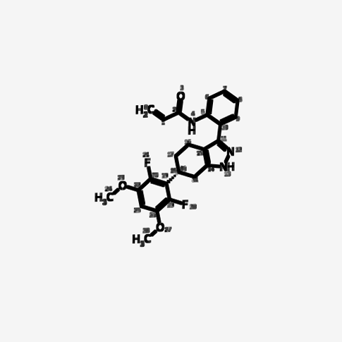 C=CC(=O)Nc1ccccc1-c1n[nH]c2c1CC[C@@H](c1c(F)c(OC)cc(OC)c1F)C2